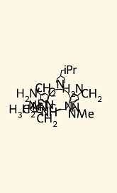 C=Nc1cc(C(=C)N)cc2c1N(CNC(=C)c1cc(C)nn1CC)C/C=C/Cn1c(NC)nc3cc(C(=C)N)cc(c31)CCC(N1CCC(CC(C)C)CC1)CC2